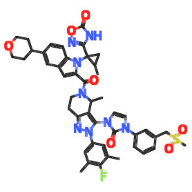 Cc1cc(-n2nc3c(c2-n2ccn(-c4cccc(CS(C)(=O)=O)c4)c2=O)C(C)N(C(=O)c2cc4cc(C5CCOCC5)ccc4n2C2(c4noc(=O)[nH]4)CC2C)CC3)cc(C)c1F